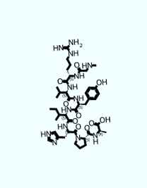 CCC(C)[C@H](NC(=O)[C@H](Cc1ccc(O)cc1)NC(=O)[C@@H](NC(=O)[C@H](CCCNC(=N)N)NC(=O)CNC)C(C)C)C(=O)N[C@@H](Cc1c[nH]cn1)C(=O)N1CCC[C@H]1C(=O)N[C@H](C)C(=O)O